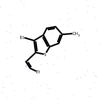 CC/C=C\c1sc2cc(C)ccc2c1CC